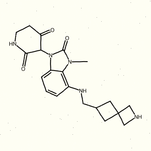 Cn1c(=O)n(C2C(=O)CCNC2=O)c2cccc(NCC3CC4(CNC4)C3)c21